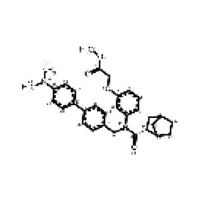 COC(=O)COc1cccc(N(Cc2ccc(-c3ccc(N(C)C)cc3)cc2)C(=O)[C@@H]2CC3CCC2C3)c1